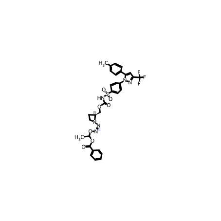 Cc1ccc(-c2cc(C(F)(F)F)nn2-c2ccc(S(=O)(=O)NC(=O)OC[C@@H]3CCN3/N=N\OC(C)OC(=O)c3ccccc3)cc2)cc1